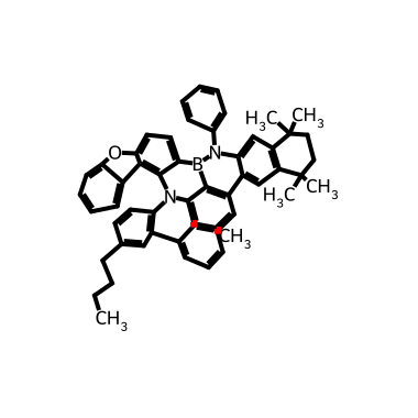 CCCCc1ccc(N2c3cc(C)cc4c3B(c3ccc5oc6ccccc6c5c32)N(c2ccccc2)c2cc3c(cc2-4)C(C)(C)CCC3(C)C)c(-c2ccccc2)c1